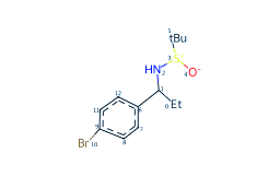 CCC(N[S+]([O-])C(C)(C)C)c1ccc(Br)cc1